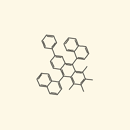 Cc1c(C)c(C)c2c(-c3cccc4ccccc34)c3cc(-c4ccccc4)ccc3c(-c3cccc4ccccc34)c2c1C